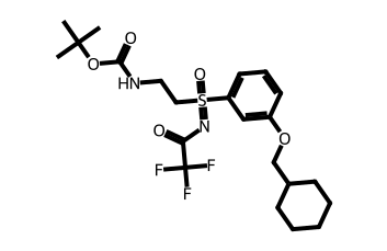 CC(C)(C)OC(=O)NCCS(=O)(=NC(=O)C(F)(F)F)c1cccc(OCC2CCCCC2)c1